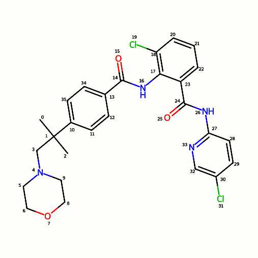 CC(C)(CN1CCOCC1)c1ccc(C(=O)Nc2c(Cl)cccc2C(=O)Nc2ccc(Cl)cn2)cc1